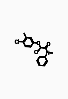 Cc1cc(OC(Cl)C(=O)N(C)c2ccccc2)ccc1Cl